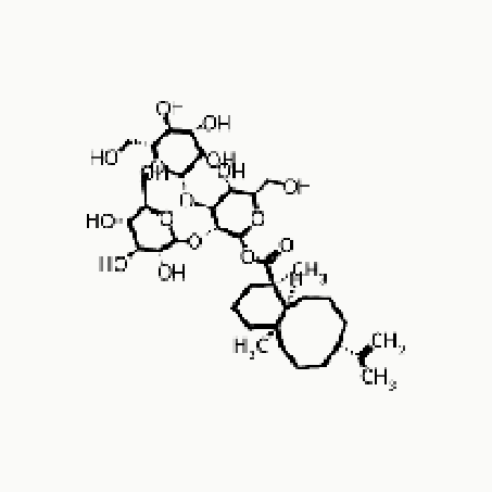 C=C(C)[C@H]1CCC[C@H]2[C@](C)(CCC1)CCC[C@@]2(C)C(=O)O[C@@H]1O[C@H](CO)[C@@H](O)[C@H](O[C@@H]2O[C@H](CO)[C@@H](O)[C@H](O)[C@H]2O)[C@H]1O[C@@H]1O[C@H](CO)[C@@H](O)[C@H](O)[C@H]1O